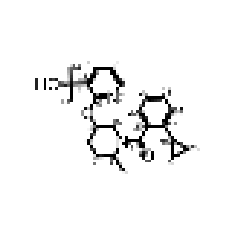 CC1CCC(Oc2ncccc2C(C)(C)O)CN1C(=O)c1ccccc1C1CC1